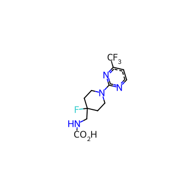 O=C(O)NCC1(F)CCN(c2nccc(C(F)(F)F)n2)CC1